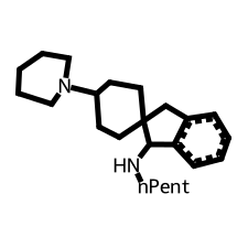 CCCCCNC1c2ccccc2CC12CCC(N1CCCCC1)CC2